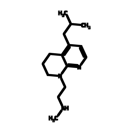 CNCCN1CCCc2c(CC(C)C)ccnc21